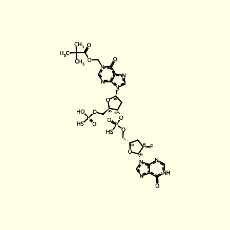 CC(C)(C)C(=O)OCn1cnc2c(ncn2[C@H]2C[C@H](OP(=O)(S)OC[C@@H]3C[C@@H](F)[C@H](n4cnc5c(=O)[nH]cnc54)O3)[C@@H](COP(=O)(O)S)O2)c1=O